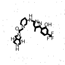 Cc1cc(N[C@@H]2CCCN(CC(=O)N3C[C@H]4CNC[C@H]4C3)C2)nnc1-c1ccc(C(F)(F)F)cc1O